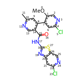 COc1cnc(Cl)cc1-c1cc(C)ncc1C(=O)Nc1nc2cc(Cl)ncc2s1